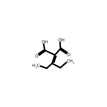 CCC(CC)=C(C(=O)O)C(=O)O